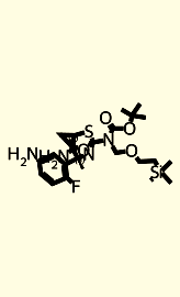 CC(C)(C)OC(=O)N(COCC[Si](C)(C)C)C1=N[C@](C)(c2cc(N)ccc2F)C2C[C@]2(C(N)=O)S1